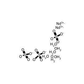 O.O.O.O.O.O.O=S(=O)([O-])[O-].O=S(=O)([O-])[O-].O=S(=O)([O-])[O-].[Nd+3].[Nd+3]